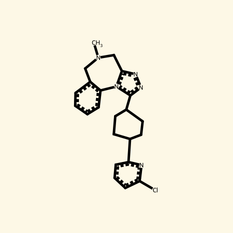 CN1Cc2ccccc2-n2c(nnc2C2CCC(c3cccc(Cl)n3)CC2)C1